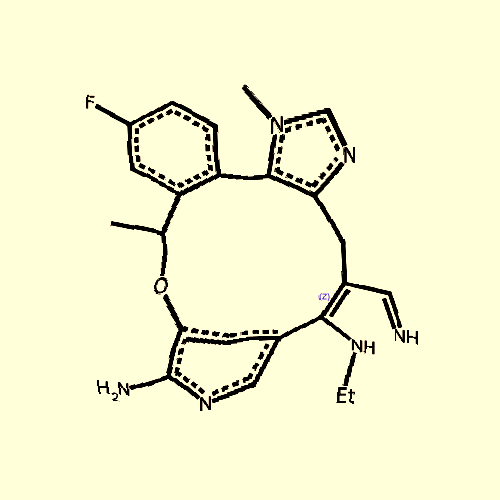 CCN/C1=C(\C=N)Cc2ncn(C)c2-c2ccc(F)cc2C(C)Oc2cc1cnc2N